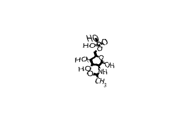 CC(=O)NC1C(O)[C@H](O)C(COP(=O)(O)O)O[C@H]1O